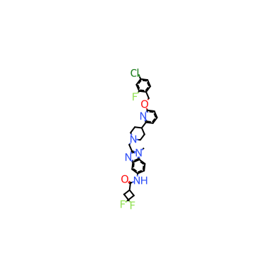 Cn1c(CN2CCC(c3cccc(OCc4ccc(Cl)cc4F)n3)CC2)nc2cc(NC(=O)C3CC(F)(F)C3)ccc21